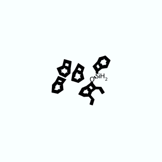 C1=Cc2ccccc21.C1=Cc2ccccc21.C1=Cc2ccccc21.C=CC1=C(O[SiH2]C2=Cc3ccccc32)c2cccc(C=C)c21